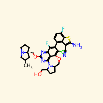 C[C@H]1CN2CCC[C@@]2(COc2nc3c4c(c(Cl)c(-c5ccc(F)c6sc(N)c(C#N)c56)c(F)c4n2)OCC2CCC(CO)N32)C1